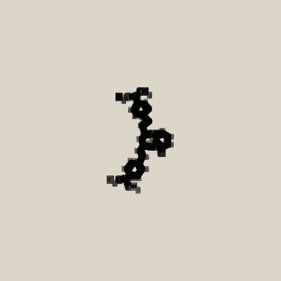 CN(C)c1ccc(C=CC(=N)CC(=N)C=Cc2ccc(N(C)C)cc2)cc1.Clc1ccccc1